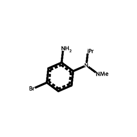 CNN(c1ccc(Br)cc1N)C(C)C